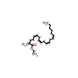 CCCCC/C=C\C/C=C\C/C=C\C/C=C\CCC(C)C(=O)OCC